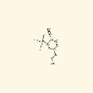 N#Cc1ccc(CCBr)cc1C(F)(F)F